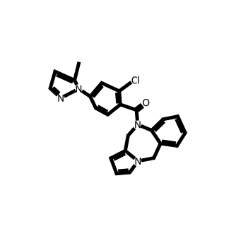 Cc1ccnn1-c1ccc(C(=O)N2Cc3cccn3Cc3ccccc32)c(Cl)c1